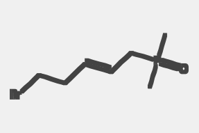 CP(C)(=O)CC=CCCBr